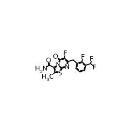 Cc1sc2nc(Cc3cccc(C(F)F)c3F)c(F)c(=O)n2c1C(N)=O